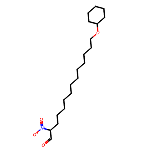 O=[C]C(CCCCCCCCCCCCOC1CC[CH]CC1)[N+](=O)[O-]